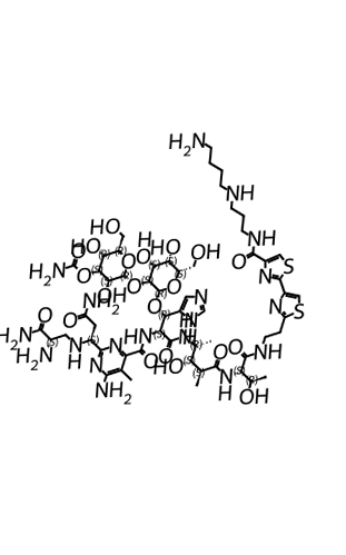 Cc1c(N)nc([C@H](CC(N)=O)NC[C@H](N)C(N)=O)nc1C(=O)N[C@H](C(=O)N[C@H](C)[C@@H](O)[C@H](C)C(=O)N[C@H](C(=O)NCCc1nc(-c2nc(C(=O)NCCCNCCCCN)cs2)cs1)[C@@H](C)O)[C@@H](O[C@@H]1O[C@@H](CO)[C@@H](O)[C@H](O)[C@@H]1O[C@H]1O[C@H](CO)[C@@H](O)[C@H](OC(N)=O)[C@@H]1O)c1cnc[nH]1